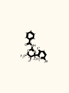 C[C@]1(c2nc(Br)ccc2F)N=C(NC(=O)c2ccccc2)O[C@@H](C(F)(F)F)[C@@H]1F